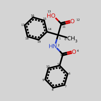 CC(NC(=O)c1ccccc1)(C(=O)O)c1ccccc1